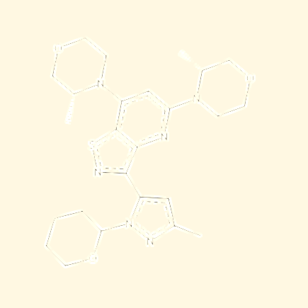 Cc1cc(-c2nsc3c(N4CCOC[C@H]4C)cc(N4CCOC[C@H]4C)nc23)n(C2CCCCO2)n1